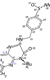 C=C(Cl)/N=C1\C(=C/C)N=C(NCc2ccc([S+]([O-])NC)cc2)C(=O)N1[C@H](C)CC